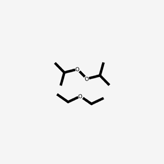 CC(C)OOC(C)C.CCOCC